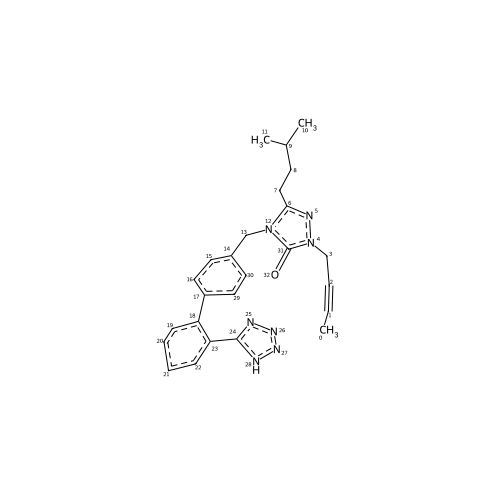 CC#CCn1nc(CCC(C)C)n(Cc2ccc(-c3ccccc3-c3nnn[nH]3)cc2)c1=O